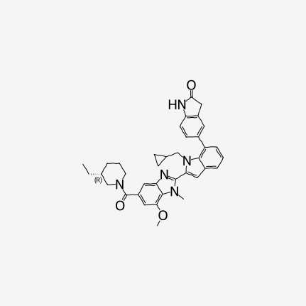 CC[C@@H]1CCCN(C(=O)c2cc(OC)c3c(c2)nc(-c2cc4cccc(-c5ccc6c(c5)CC(=O)N6)c4n2CC2CC2)n3C)C1